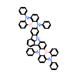 c1ccc(N2c3ccccc3B3c4cc5c6cccc7c8c9c(ccc8n(c5cc4N(c4ccccc4)c4cccc2c43)c67)B2c3ccccc3N(c3ccccc3)c3cccc(c32)N9c2ccccc2)cc1